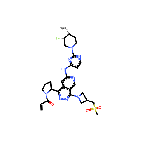 C=CC(=O)N1CCCC1c1nnc(N2CC(CS(C)(=O)=O)C2)c2cnc(Nc3ccnc(N4CC[C@@H](OC)[C@@H](F)C4)n3)cc12